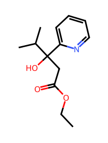 CCOC(=O)CC(O)(c1ccccn1)C(C)C